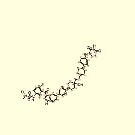 CCN(C)S(=O)(=O)Nc1ccc(F)c(C(=O)c2c[nH]c3ncc(-c4cnc(N5CCC(O)(CCN6CCC(c7ccc(NC8CCC(=O)NC8=O)cc7)CC6)CC5)nc4)cc23)c1F